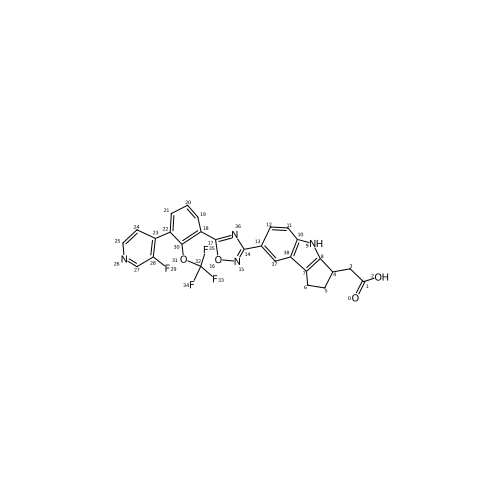 O=C(O)CC1CCc2c1[nH]c1ccc(-c3noc(-c4cccc(-c5ccncc5F)c4OC(F)(F)F)n3)cc21